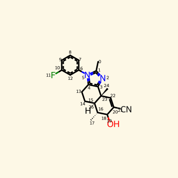 Cc1nc2c(n1-c1cccc(F)c1)CC[C@@H]1[C@@H](C)C(O)C(C#N)=C[C@@]21C